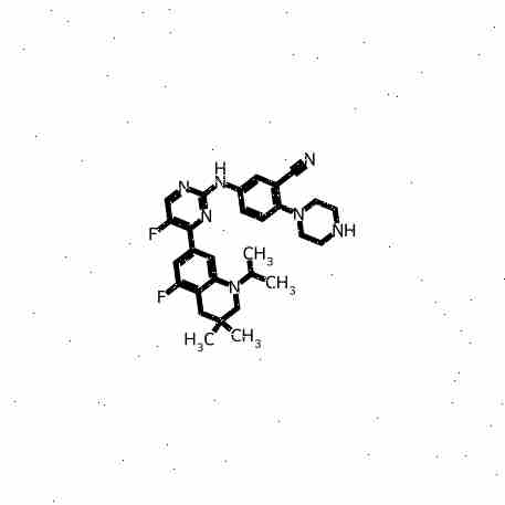 CC(C)N1CC(C)(C)Cc2c(F)cc(-c3nc(Nc4ccc(N5CCNCC5)c(C#N)c4)ncc3F)cc21